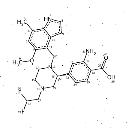 COc1cc(C)c2[nH]ccc2c1CN1CCN(CC(F)F)C[C@@H]1c1ccc(C(=O)O)c(N)c1